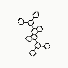 c1ccc(-c2cc(-c3ccccc3)cc(-c3cc4c5ccccc5c(-c5cc(-c6ccccc6)cc(-c6ccccc6)c5)cc4c4ccccc34)c2)cc1